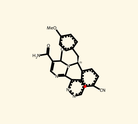 COc1ccc(C[C@@H](c2ccc(C#N)cc2)N2C(c3cccnn3)=NC=C(C(N)=O)C2O)cc1